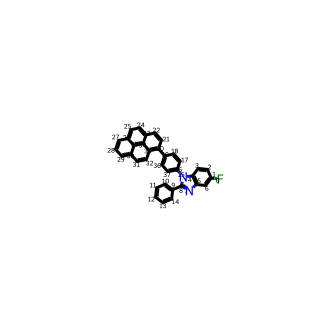 Fc1ccc2c(c1)nc(-c1ccccc1)n2-c1ccc(-c2ccc3ccc4cccc5ccc2c3c45)cc1